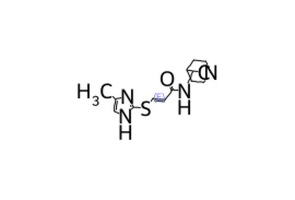 Cc1c[nH]c(S/C=C/C(=O)NC2CN3CCC2CC3)n1